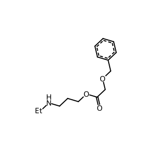 CCNCCCOC(=O)COCc1ccccc1